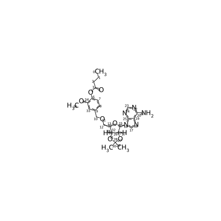 CCCC(=O)Oc1ccc(COC[C@H]2O[C@@H](n3cnc4c(N)ncnc43)[C@@H]3OC(C)(C)O[C@@H]32)cc1OC